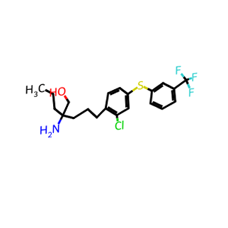 CCCC(N)(CO)CCCc1ccc(Sc2cccc(C(F)(F)F)c2)cc1Cl